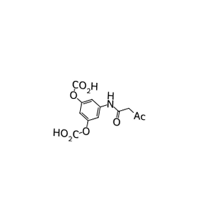 CC(=O)CC(=O)Nc1cc(OC(=O)O)cc(OC(=O)O)c1